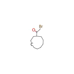 O=C(CBr)C1CCCCCCCCC1